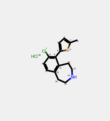 Cc1ccc(-c2c(Cl)ccc3c2CCNCC3)s1.Cl